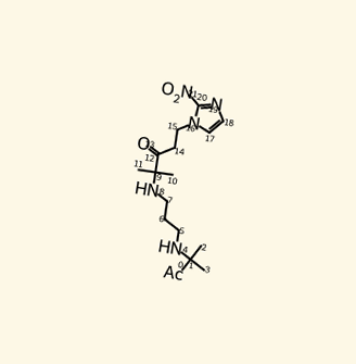 CC(=O)C(C)(C)NCCCNC(C)(C)C(=O)CCn1ccnc1[N+](=O)[O-]